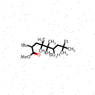 CCC(C)(C)CC(C(=O)O)C(C)(C)C(C)(C)CC(C(=O)OC)C(C)(C)C